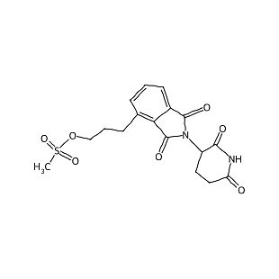 CS(=O)(=O)OCCCc1cccc2c1C(=O)N(C1CCC(=O)NC1=O)C2=O